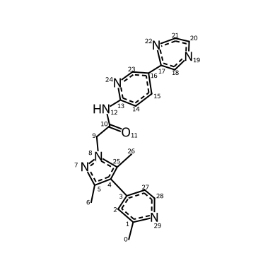 Cc1cc(-c2c(C)nn(CC(=O)Nc3ccc(-c4cnccn4)cn3)c2C)ccn1